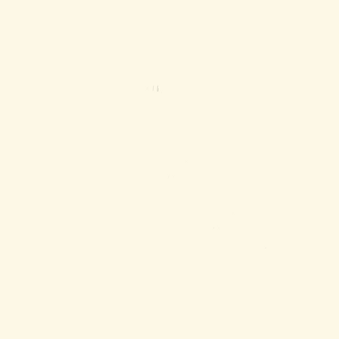 C=CC(O)CCCC(O)CCCC1(C)Oc2cc3ccccc3cc2O1